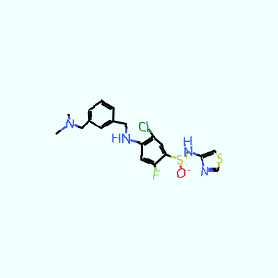 CN(C)Cc1cccc(CNc2cc(F)c([S+]([O-])Nc3cscn3)cc2Cl)c1